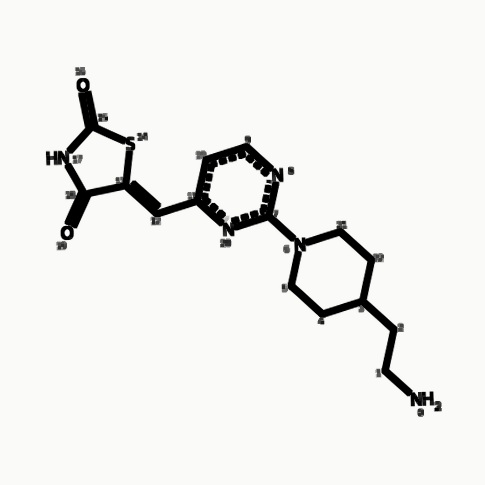 NCCC1CCN(c2nccc(/C=C3\SC(=O)NC3=O)n2)CC1